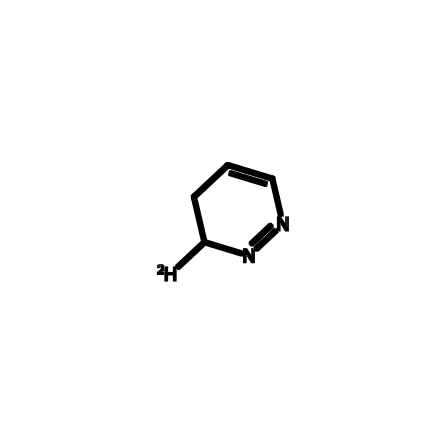 [2H]C1CC=CN=N1